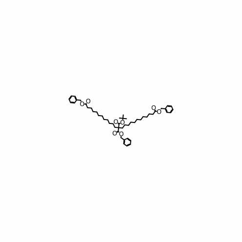 CC(C)(C)OC(=O)C(CCCCCCCCCCCC(=O)OCc1ccccc1)(CCCCCCCCCCCC(=O)OCc1ccccc1)C(=O)OCc1ccccc1